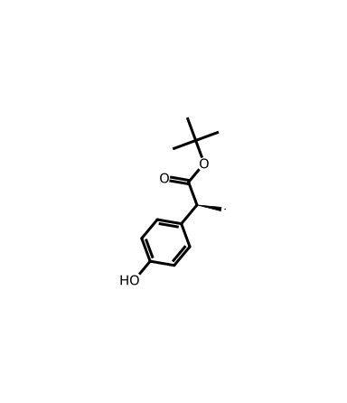 [CH2][C@H](C(=O)OC(C)(C)C)c1ccc(O)cc1